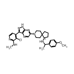 CNc1nccc(-c2n[nH]c3nc(N4CCC5(CCC[C@H]5NC(C)c5ccc(OC)cc5)CC4)cnc23)c1Cl